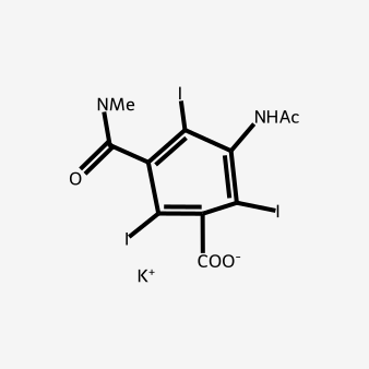 CNC(=O)c1c(I)c(NC(C)=O)c(I)c(C(=O)[O-])c1I.[K+]